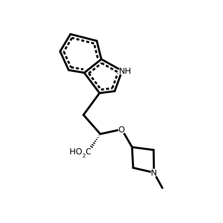 CN1CC(O[C@@H](Cc2c[nH]c3ccccc23)C(=O)O)C1